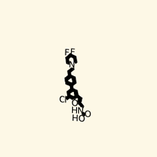 O=C(O)NCc1cc2cc(-c3ccc(CCN4CCC(F)(F)CC4)cc3)cc(Cl)c2o1